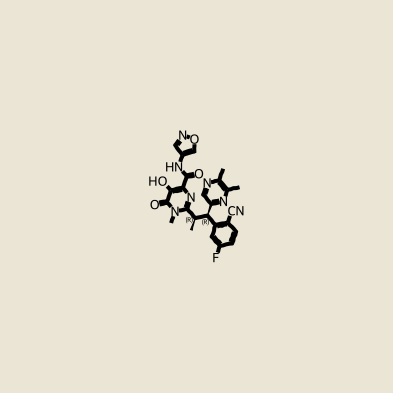 Cc1ncc([C@@H](c2cc(F)ccc2C#N)[C@@H](C)c2nc(C(=O)Nc3cnoc3)c(O)c(=O)n2C)nc1C